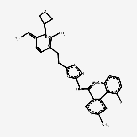 C\C=C(/C=C\C(CCc1nnc(NC(=O)c2cnc(C)cc2-c2c(F)cccc2OC)s1)=C(\C)CC)CC1COC1